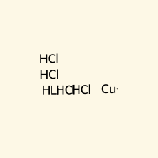 Cl.Cl.Cl.Cl.[Cu].[LiH]